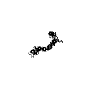 CC(C)Oc1cc2nc(N3CCN(CC4CCN(c5ccc6c(c5)C(=O)N(C5CCC(=O)NC5=O)C6=O)CC4)CC3)sc2cc1C(=O)Nc1cnn2cccnc12